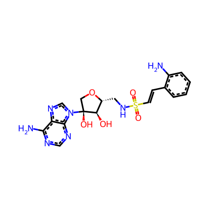 Nc1ccccc1/C=C/S(=O)(=O)NC[C@H]1OC[C@@](O)(n2cnc3c(N)ncnc32)[C@@H]1O